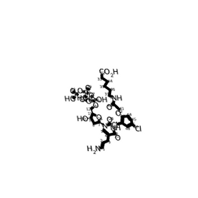 NC=CCc1cn([C@H]2C[C@H](O)[C@@H](COP(=O)(O)OP(=O)(O)OP(=O)(O)O)O2)c(=O)[nH]c1=O.O=C(O)CCCCCNC(=O)COc1ccc(Cl)cc1Cl